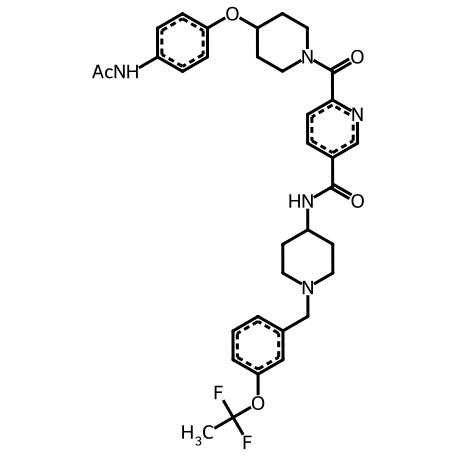 CC(=O)Nc1ccc(OC2CCN(C(=O)c3ccc(C(=O)NC4CCN(Cc5cccc(OC(C)(F)F)c5)CC4)cn3)CC2)cc1